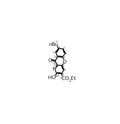 CCCCc1ccc2oc3cc(C(=O)OCC)c(O)nc3c(=O)c2c1